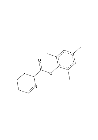 Cc1cc(C)c(OC(=O)C2CCCC=N2)c(C)c1